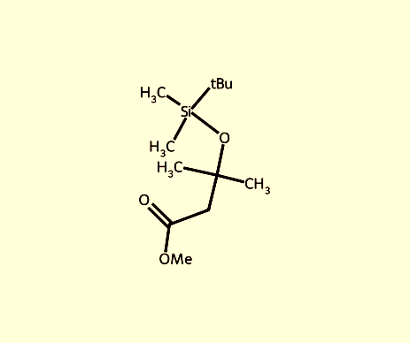 COC(=O)CC(C)(C)O[Si](C)(C)C(C)(C)C